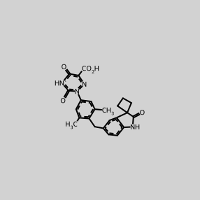 Cc1cc(-n2nc(C(=O)O)c(=O)[nH]c2=O)cc(C)c1Cc1ccc2c(c1)C1(CCC1)C(=O)N2